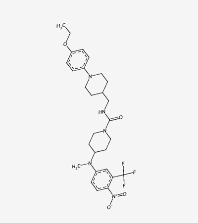 CCOc1ccc(N2CCC(CNC(=O)N3CCC(N(C)c4ccc([N+](=O)[O-])c(C(F)(F)F)c4)CC3)CC2)cc1